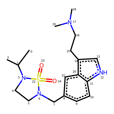 CC(C)N1CCN(Cc2ccc3[nH]cc(CCN(C)C)c3c2)S1(=O)=O